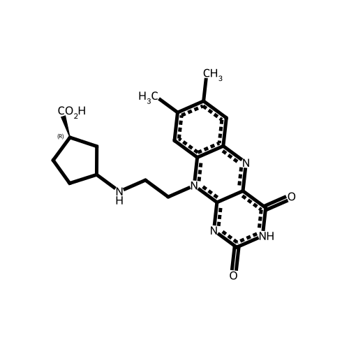 Cc1cc2nc3c(=O)[nH]c(=O)nc-3n(CCNC3CC[C@@H](C(=O)O)C3)c2cc1C